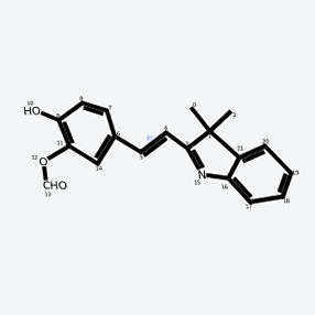 CC1(C)C(/C=C/c2ccc(O)c(OC=O)c2)=Nc2ccccc21